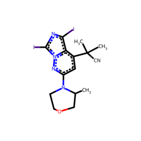 CC1COCCN1c1cc(C(C)(C)C#N)c2c(I)nc(I)n2n1